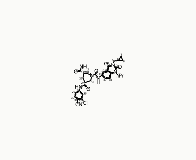 CC(C)n1c(=O)n(CC2CC2)c(=O)c2cc(NC(=O)N3C[C@@H](C(N)=O)C[C@@H](C(=O)Nc4ccc(C#N)c(Cl)c4)C3)ccc21